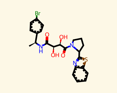 C[C@H](NC(=O)[C@H](O)[C@@H](O)C(=O)N1CCCC1c1nc2ccccc2s1)c1ccc(Br)cc1